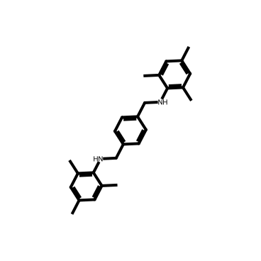 Cc1cc(C)c(NCc2ccc(CNc3c(C)cc(C)cc3C)cc2)c(C)c1